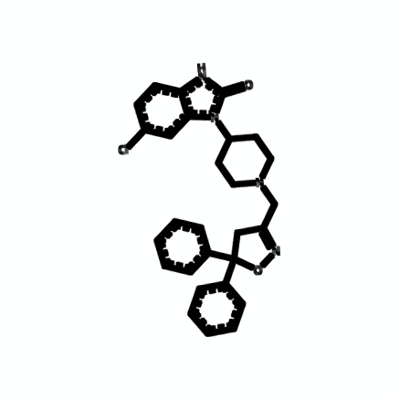 O=c1[nH]c2ccc(Cl)cc2n1C1CCN(CC2=NOC(c3ccccc3)(c3ccccc3)C2)CC1